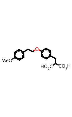 COc1ccc(CCOc2ccc(CC(C(=O)O)C(=O)O)cc2)cc1